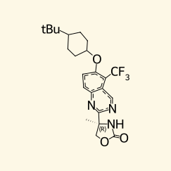 CC(C)(C)C1CCC(Oc2ccc3nc([C@]4(C)COC(=O)N4)ncc3c2C(F)(F)F)CC1